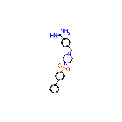 N=C(N)c1ccc(CN2CCN(S(=O)(=O)c3ccc(-c4ccccc4)cc3)CC2)cc1